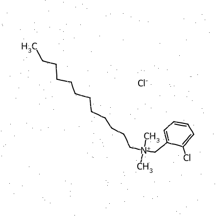 CCCCCCCCCCCC[N+](C)(C)Cc1ccccc1Cl.[Cl-]